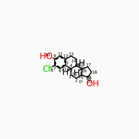 C[C@]12CC[C@@H]3c4cc(Cl)c(O)cc4CC[C@H]3[C@@H]1CC[C@@H]2O